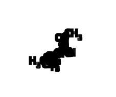 CCOC(=O)c1cc(-c2ccc(NC(=O)OC(C)(C)C)cn2)n(-c2cccnc2)n1